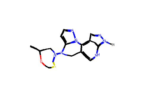 CCN1N=CC2=C3C(=CNC21)CN(N1CC(C)OCS1)c1ccnn13